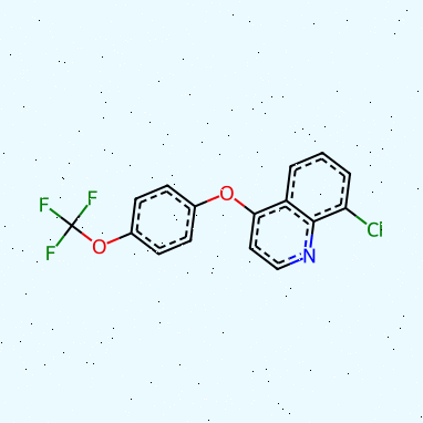 FC(F)(F)Oc1ccc(Oc2ccnc3c(Cl)cccc23)cc1